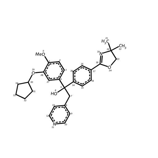 COc1ccc(C(O)(Cc2ccncc2)c2ccc(C3=NC(C)(C)CO3)cc2)cc1OC1CCCC1